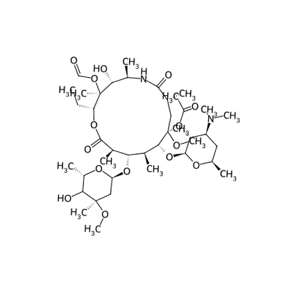 CC[C@H]1OC(=O)[C@H](C)[C@@H](O[C@H]2C[C@@](C)(OC)C(O)[C@H](C)O2)[C@H](C)[C@@H](O[C@@H]2O[C@H](C)C[C@H](N(C)C)[C@H]2OC(C)=O)[C@](C)(OC)C[C@@H](C)C(=O)N[C@H](C)[C@@H](O)[C@]1(C)OC=O